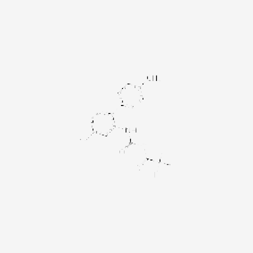 Cc1ccc(-c2ccc(Cl)cc2NC(=O)OC(=O)C(F)(F)F)cc1